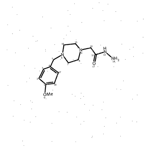 COc1ccc(CN2CCN(CC(=O)NN)CC2)cc1